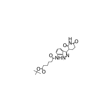 Cn1nc(C2CCC(=O)NC2=O)c2cccc(NC(=O)CCCCC(=O)OC(C)(C)C)c21